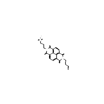 CCCCN1C(=O)c2ccc3c4c(ccc(c24)C1=O)C(=O)N(CCCS(=O)(=O)O)C3=O